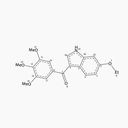 CCOc1ccc2c(C(=O)c3cc(OC)c(OC)c(OC)c3)c[nH]c2c1